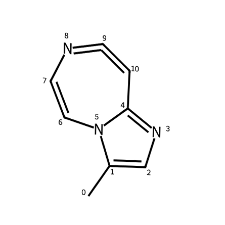 Cc1cnc2n1C=CN=C=C2